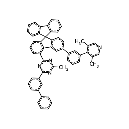 Cc1nc(-c2cccc(-c3ccccc3)c2)nc(-c2cccc3c2-c2cc(-c4cccc(-c5c(C)cncc5C)c4)ccc2C32c3ccccc3-c3ccccc32)n1